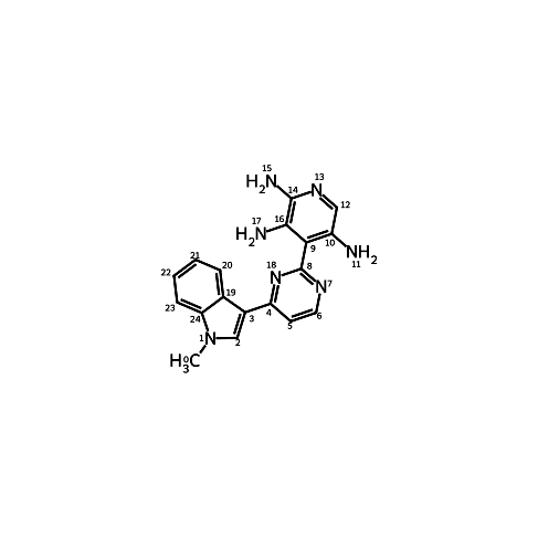 Cn1cc(-c2ccnc(-c3c(N)cnc(N)c3N)n2)c2ccccc21